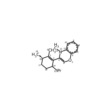 CC1=C(C2=COc3ccccc3N2C)C(C(C)C)CC[C@H]1C